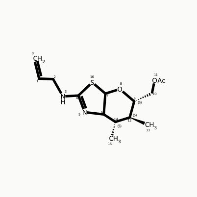 C=CCNC1=NC2C(O[C@H](COC(C)=O)[C@@H](C)[C@@H]2C)S1